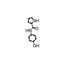 O=C(Nc1ccc(O)cc1)c1ccc[nH]1